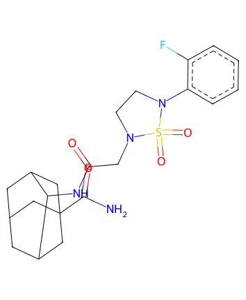 NC(=O)C12CC3CC(C1)C(NC(=O)CN1CCN(c4ccccc4F)S1(=O)=O)C(C3)C2